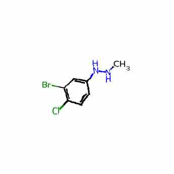 CNNc1ccc(Cl)c(Br)c1